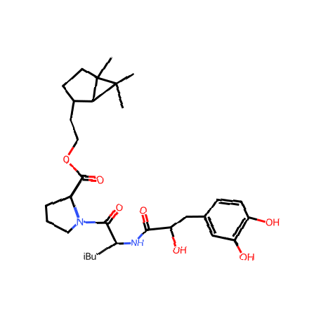 CCC(C)C(NC(=O)C(O)Cc1ccc(O)c(O)c1)C(=O)N1CCCC1C(=O)OCCC1CCC2(C)C1C2(C)C